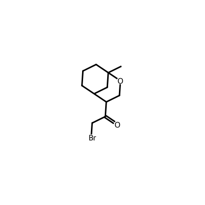 CC12CCCC(C1)C(C(=O)CBr)CO2